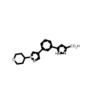 O=C(O)c1cc(-c2cccc(-c3cnn(C4CCOCC4)c3)c2)[nH]n1